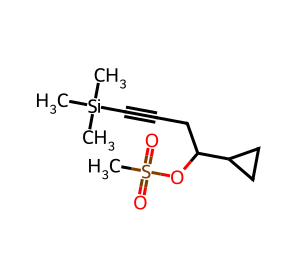 C[Si](C)(C)C#CCC(OS(C)(=O)=O)C1CC1